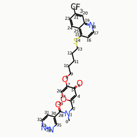 CN(Cc1cc(=O)c(OCCCCCSc2ccnc3cc(C(F)(F)F)ccc23)co1)C(=O)c1ccnnc1